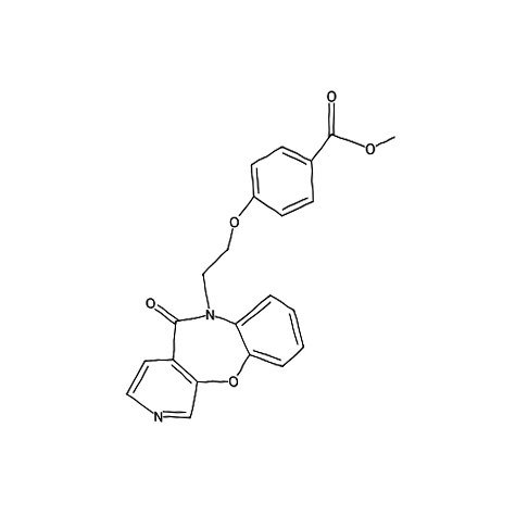 COC(=O)c1ccc(OCCN2C(=O)c3ccncc3Oc3ccccc32)cc1